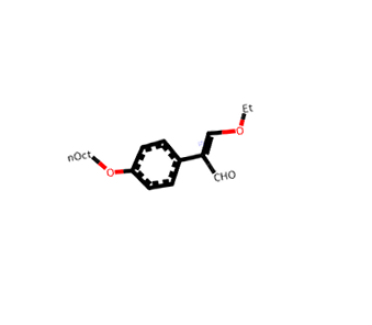 CCCCCCCCOc1ccc(/C(C=O)=C/OCC)cc1